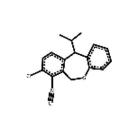 [C-]#[N+]c1c(Cl)ccc2c1CSc1ccccc1C2C(C)C